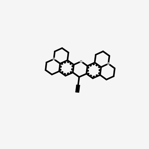 C#CC1c2cc3c4c(c2Oc2c1cc1c5c2CCCN5CCC1)CCCN4CCC3